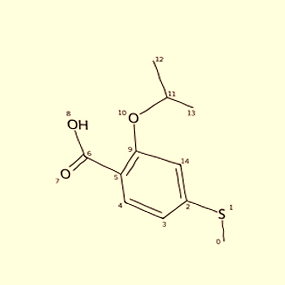 CSc1ccc(C(=O)O)c(OC(C)C)c1